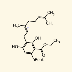 CCCCCc1cc(O)c(C/C=C(\C)CCC=C(C)C)c(O)c1C(=O)OCC(F)(F)F